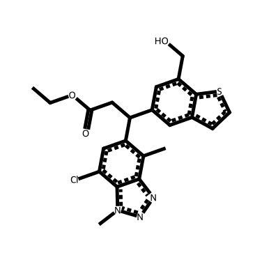 CCOC(=O)CC(c1cc(CO)c2sccc2c1)c1cc(Cl)c2c(nnn2C)c1C